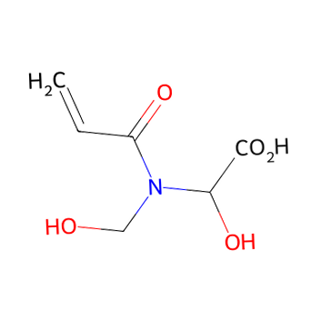 C=CC(=O)N(CO)C(O)C(=O)O